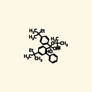 CCC(C)(C)OP(O)(O)(c1ccc(C(C)(C)CC)cc1)c1ccc(C(C)(C)CC)cc1-c1ccccc1